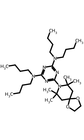 CCCCN(CCCC)c1nc(N(CCCC)CCCC)nc(N2C(C)(C)CC3(CC2(C)C)OCCO3)n1